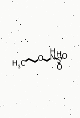 CCCOCN[SH](=O)=O